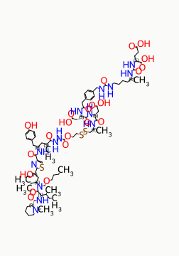 CCCCOCN(C(=O)[C@@H](NC(=O)[C@H]1CCCCN1C)C(C)CC)[C@H](C[C@@H](O)c1nc(C(=O)N[C@@H](Cc2ccc(O)cc2)C[C@H](C)C(=O)NNC(=O)OCCSSC[C@@H](C)NC(=O)[C@H](CC(=O)O)NC(=O)[C@H](CC(=O)O)NC(=O)Cc2ccc(CNC(=O)NCCCC[C@@H](C)NC(=O)N[C@@H](CCC(=O)O)C(=O)O)cc2)cs1)C(C)C